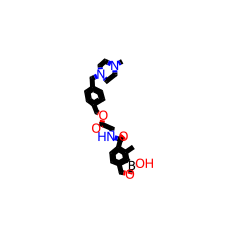 Cc1c(C(=O)NCC(=O)OCc2ccc(CN3CCN(C)CC3)cc2)ccc2c1B(O)OC2